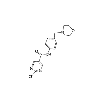 O=C(Nc1ccc(CN2CCOCC2)cc1)c1cnc(Cl)nc1